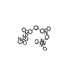 c1ccc(-c2nc(-c3ccccc3)nc(-c3cccc(-n4c5ccccc5c5cc(-c6cccc(-c7ccc8c(c7)c7ccccc7n8-c7ccc8oc9cccnc9c8n7)c6)ccc54)c3)n2)cc1